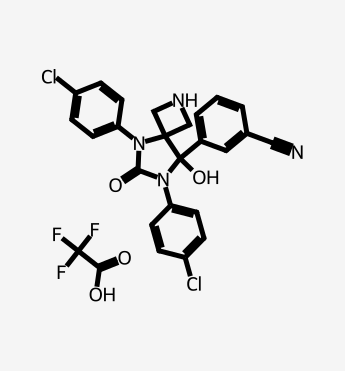 N#Cc1cccc(C2(O)N(c3ccc(Cl)cc3)C(=O)N(c3ccc(Cl)cc3)C23CNC3)c1.O=C(O)C(F)(F)F